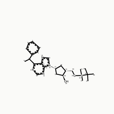 CC(c1ccccc1)c1ncnc2c1ncn2[C@@H]1C[C@H](CO[Si](C)(C)C(C)(C)C)[C@@H](O)C1